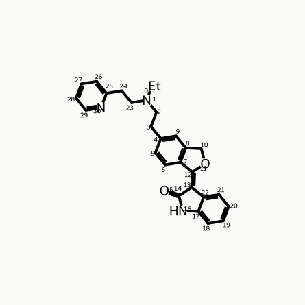 CCN(CCc1ccc2c(c1)COC2=C1C(=O)Nc2ccccc21)CCc1ccccn1